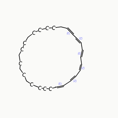 [C]1=C/C=C\C=C/C=C/C=C\C=C\CCCCCCCCCCCCCCCCC/1